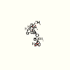 C=Cc1cccc(C(/C=C\C(C)C(/C=C\C/C=C\C(=C/C)c2ccccc2)=C/C=C/NC2=CCC=CC(c3cccc4c3c(C)c(/C=c3/ccccc3=C)n4-c3ccccc3)=C2)=C/C)c1C